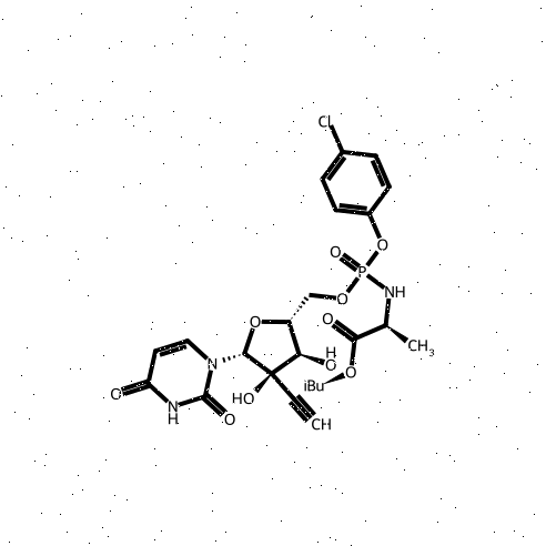 C#C[C@@]1(O)[C@H](O)[C@@H](COP(=O)(N[C@@H](C)C(=O)O[C@H](C)CC)Oc2ccc(Cl)cc2)O[C@H]1n1ccc(=O)[nH]c1=O